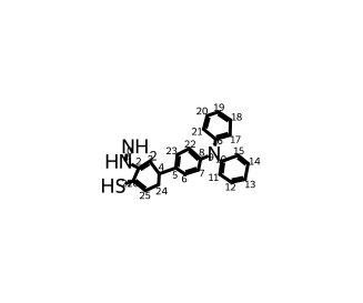 NNC1=CC(c2ccc(N(c3ccccc3)c3ccccc3)cc2)CC=C1S